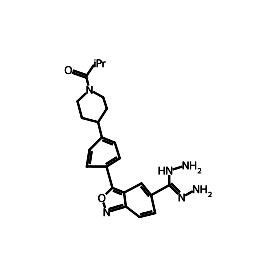 CC(C)C(=O)N1CCC(c2ccc(-c3onc4ccc(/C(=N/N)NN)cc34)cc2)CC1